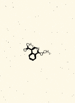 COc1ncc(C(C)=O)c2ccccc12